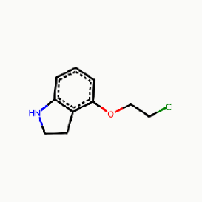 ClCCOc1cccc2c1CCN2